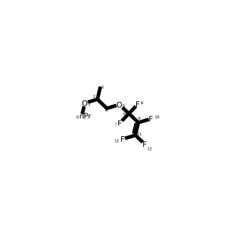 CCCOC(C)COC(F)(F)C(F)=C(F)F